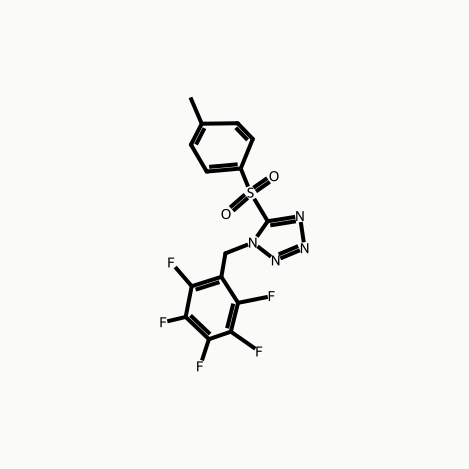 Cc1ccc(S(=O)(=O)c2nnnn2Cc2c(F)c(F)c(F)c(F)c2F)cc1